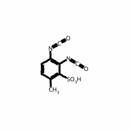 Cc1ccc(N=C=O)c(N=C=O)c1S(=O)(=O)O